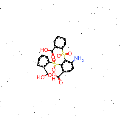 Nc1ccc(C(=O)O)c(S(=O)(=O)c2ccccc2C(=O)O)c1S(=O)(=O)c1ccccc1C(=O)O